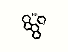 Br.C1=CCOC=C1.c1ccc2c(c1)ccc1c3c(ccc12)CCCC3